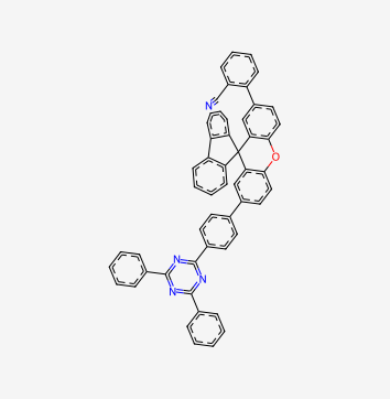 N#Cc1ccccc1-c1ccc2c(c1)C1(c3cc(-c4ccc(-c5nc(-c6ccccc6)nc(-c6ccccc6)n5)cc4)ccc3O2)c2ccccc2-c2ccccc21